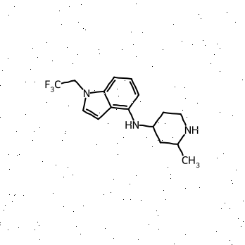 CC1CC(Nc2cccc3c2ccn3CC(F)(F)F)CCN1